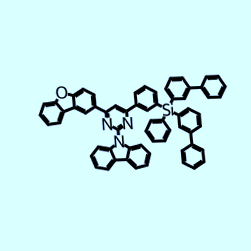 c1ccc(-c2cccc([Si](c3ccccc3)(c3cccc(-c4ccccc4)c3)c3cccc(-c4cc(-c5ccc6oc7ccccc7c6c5)nc(-n5c6ccccc6c6ccccc65)n4)c3)c2)cc1